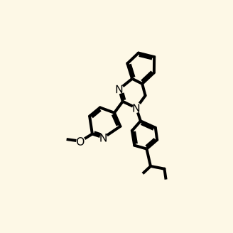 CCC(C)c1ccc(N2Cc3ccccc3N=C2c2ccc(OC)nc2)cc1